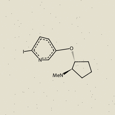 CN[C@@H]1CCC[C@H]1Oc1ccc(I)nc1